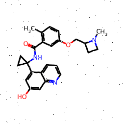 Cc1ccc(OCC2CCN2C)cc1C(=O)NC1(c2cc(O)cc3ncccc23)CC1